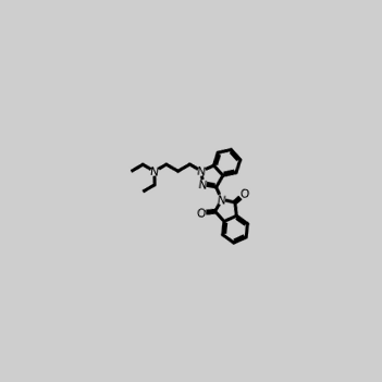 CCN(CC)CCCn1nc(N2C(=O)c3ccccc3C2=O)c2ccccc21